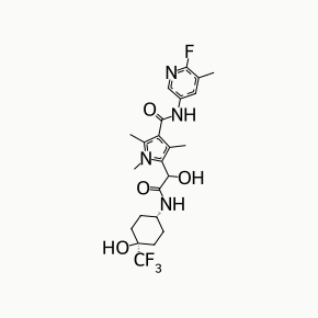 Cc1cc(NC(=O)c2c(C)c(C(O)C(=O)N[C@H]3CC[C@@](O)(C(F)(F)F)CC3)n(C)c2C)cnc1F